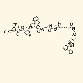 CN(CCN1CCC(OC(=O)Nc2ccccc2-c2ccccc2)CC1)C(=O)CCCCCNc1ccc(C(=O)N(C)CCCN(C)C(=O)CO[C@H]2Cc3ccccc3C23CCN(CC[C@]2(c4ccc(F)cc4)CN(C(=O)c4cc(C(F)(F)F)cc(C(F)(F)F)c4)CO2)CC3)s1